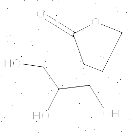 O=C1CCCO1.OCC(O)CO